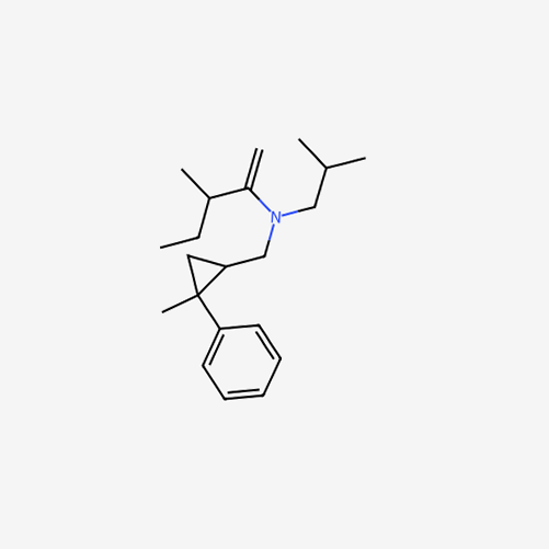 C=C(C(C)CC)N(CC(C)C)CC1CC1(C)c1ccccc1